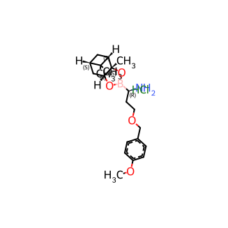 COc1ccc(COCC[C@H](N)B2O[C@@H]3C[C@@H]4C[C@@H](C4(C)C)[C@]3(C)O2)cc1.Cl